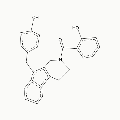 O=C(c1ccccc1O)N1CCc2c(n(Cc3ccc(O)cc3)c3ccccc23)C1